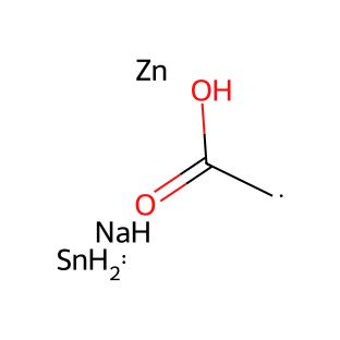 [CH2]C(=O)O.[NaH].[SnH2].[Zn]